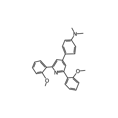 COc1ccccc1-c1cc(-c2ccc(N(C)C)cc2)cc(-c2ccccc2OC)n1